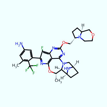 Cc1cc(N)cc(-c2nc3c4c(nc(OC[C@@H]5CC[C@H]6COCCN65)nc4c2F)N2C[C@H]4CC[C@H](N4)[C@H]2[C@H](C)O3)c1C(F)(F)F